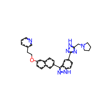 c1cncc(CCOc2ccc3cc(-c4n[nH]c5ccc(-c6n[nH]c(CN7CCCC7)n6)cc45)ccc3c2)c1